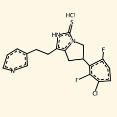 Cl.Fc1ccc(Cl)c(F)c1C1Cc2c(CCc3cccnc3)[nH]c(=S)n2C1